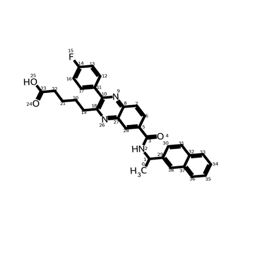 CC(NC(=O)c1ccc2nc(-c3ccc(F)cc3)c(CCCCC(=O)O)nc2c1)c1ccc2ccccc2c1